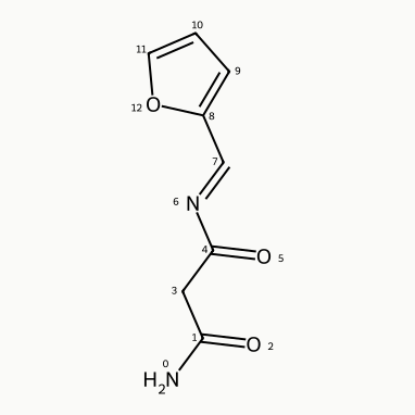 NC(=O)CC(=O)N=Cc1ccco1